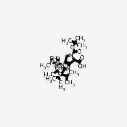 CC(C)[Si](c1nc2c(n1S(=O)(=O)N(C)C)CN(C(=O)OC(C)(C)C)C2C(=O)O)(C(C)C)C(C)C